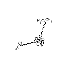 CC(C)CCCCCCCOC(=O)C(Cl)(C(=O)OCCCCCCCC(C)C)n1cncn1